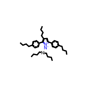 CCCCC1=C(c2ccc(CCCC)cc2)[N+](=[N-])C(c2ccc(CCCC)cc2)=C1.CCC[CH2][Ni][CH2]CCC